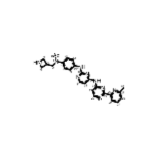 CC(=O)N(CC1CNC1)c1ccc(Nc2nccc(Nc3ccnc(-c4cccc(C)n4)n3)n2)cc1